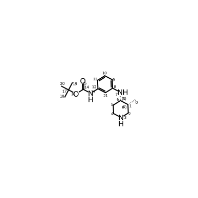 C[C@@H]1CNCC[C@@H]1Nc1cccc(NC(=O)OC(C)(C)C)c1